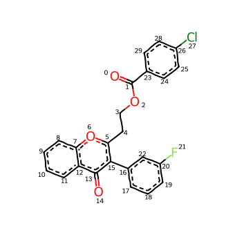 O=C(OCCc1oc2ccccc2c(=O)c1-c1cccc(F)c1)c1ccc(Cl)cc1